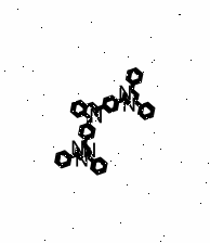 c1ccc(-c2cc(-c3ccccc3)nc(-c3ccc(-c4cc5ccccc5c(-c5ccc(-c6nc(-c7ccccc7)nc(-c7ccccc7)n6)cc5)n4)cc3)n2)cc1